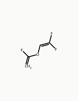 C=C(F)OC=C(F)F